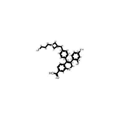 O=C(O)c1ccc2c(c1)SCC(c1ccc(F)cc1F)=C2c1ccc(CC2CN(CCCF)C2)cc1